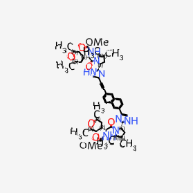 COC(=O)NC(C(=O)N1[C@H](C)[C@H](C)C[C@H]1c1nc(C#Cc2ccc3cc(-c4c[nH]c([C@@H]5C[C@@H](C)[C@@H](C)N5C(=O)C(NC(=O)OC)[C@H]5C[C@@H](C)O[C@@H](C)C5)n4)ccc3c2)c[nH]1)[C@H]1C[C@@H](C)O[C@@H](C)C1